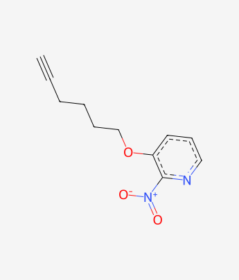 C#CCCCCOc1cccnc1[N+](=O)[O-]